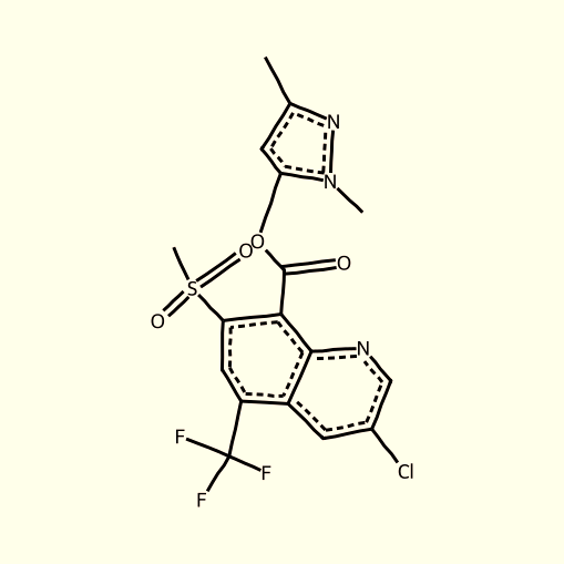 Cc1cc(OC(=O)c2c(S(C)(=O)=O)cc(C(F)(F)F)c3cc(Cl)cnc23)n(C)n1